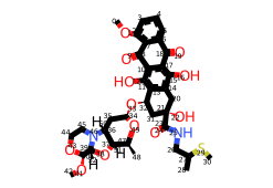 COc1cccc2c1C(=O)c1c(O)c3c(c(O)c1C2=O)C[C@@](O)(C(=O)NCC(C)SC)C[C@@H]3O[C@H]1C[C@H]2[C@H](O[C@@H]3[C@@H](OC)OCCN32)[C@H](C)O1